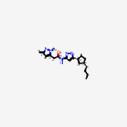 CCCC[C@@H]1CC[C@H](c2cc(NC(=O)Cc3cc(C)nn3C)n[nH]2)C1